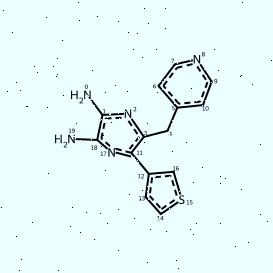 Nc1nc(Cc2ccncc2)c(-c2ccsc2)nc1N